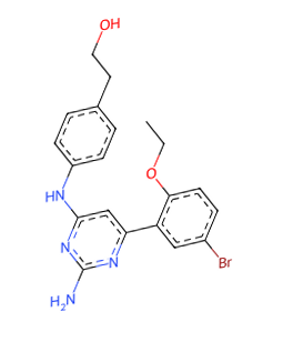 CCOc1ccc(Br)cc1-c1cc(Nc2ccc(CCO)cc2)nc(N)n1